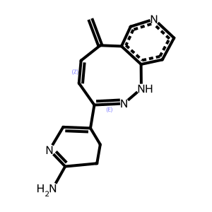 C=C1/C=C\C(C2=CN=C(N)CC2)=N/Nc2ccncc21